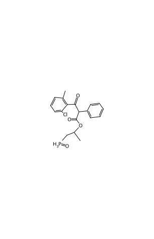 CCC(C)OC(=O)C(C(=O)c1c(C)cccc1Cl)c1ccccc1.O=[PH3]